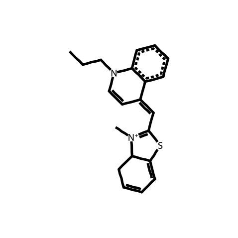 CCCN1C=C/C(=C\C2=[N+](C)C3CC=CC=C3S2)c2ccccc21